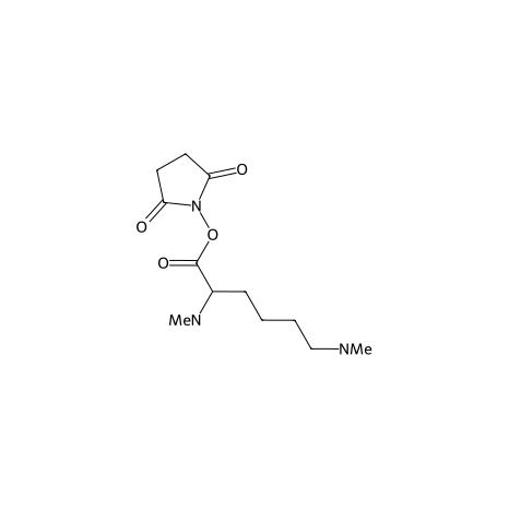 CNCCCCC(NC)C(=O)ON1C(=O)CCC1=O